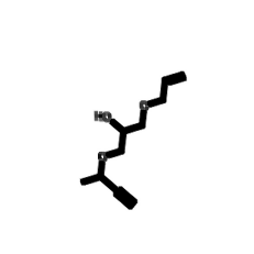 C#CC(C)OCC(O)COCC=C